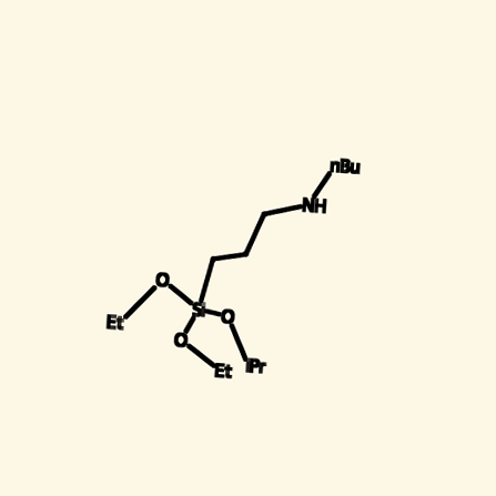 CCCCNCCC[Si](OCC)(OCC)OC(C)C